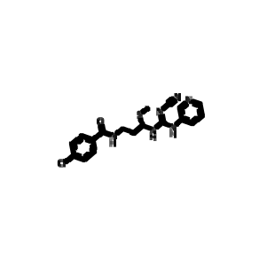 CSC(CCNC(=O)c1ccc(Cl)cc1)NC(=NC#N)Nc1cccnc1